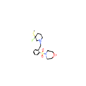 CSC1(F)CCCN(Cc2ccccc2S(=O)(=O)N2CCOCC2)C1